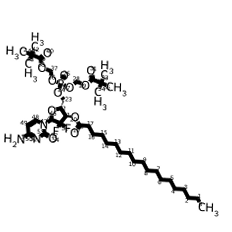 CCCCCCCCCCCCCCCCCCC(=O)O[C@@H]1[C@@H](COP(=O)(OCOC(=O)C(C)(C)C)OCOC(=O)C(C)(C)C)OC(n2ccc(N)nc2=O)C1(F)F